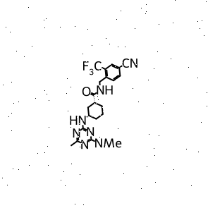 CNc1nc(C)nc(N[C@H]2CCC[C@@H](C(=O)NCc3ccc(C#N)cc3C(F)(F)F)C2)n1